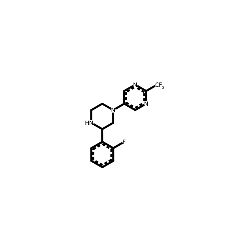 Fc1ccccc1C1CN(c2cnc(C(F)(F)F)nc2)CCN1